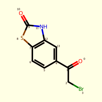 O=C(CBr)c1ccc2sc(=O)[nH]c2c1